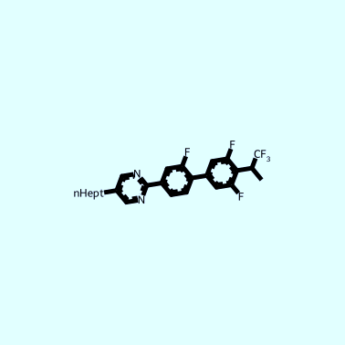 CCCCCCCc1cnc(-c2ccc(-c3cc(F)c(C(C)C(F)(F)F)c(F)c3)c(F)c2)nc1